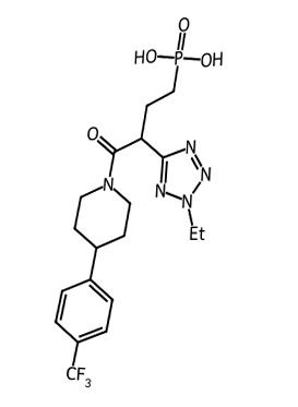 CCn1nnc(C(CCP(=O)(O)O)C(=O)N2CCC(c3ccc(C(F)(F)F)cc3)CC2)n1